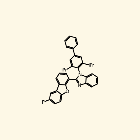 CC(C)c1cc(-c2ccccc2)cc(C(C)C)c1-n1c(-c2cccc3c2oc2ccc(F)cc23)nc2ccccc21